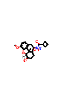 COc1ccc2c3c1O[C@@H]1C(=O)CC[C@](O)(C(NC(=O)C4CCC4)C2)C31C